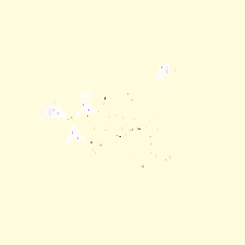 CN1C(=N)N[C@](C)(c2cccc(C#N)c2)[C@@H](c2ccc(C3CCC3)cc2)C1=O